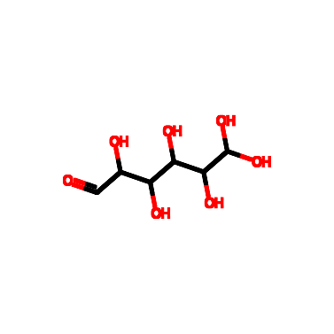 O=CC(O)C(O)C(O)C(O)C(O)O